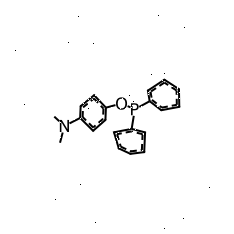 CN(C)c1ccc(OP(c2ccccc2)c2ccccc2)cc1